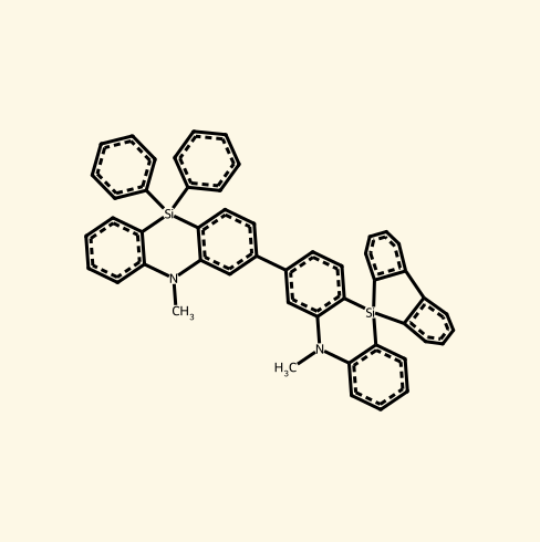 CN1c2ccccc2[Si](c2ccccc2)(c2ccccc2)c2ccc(-c3ccc4c(c3)N(C)c3ccccc3[Si]43c4ccccc4-c4ccccc43)cc21